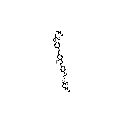 C=CC(=O)OCCOc1ccc(/C=C/c2ccc(/C=C/c3ccc(OC(=O)C=C)cc3)cc2F)cc1